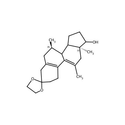 CC1=C2C3=C(C[C@@H](C)C2C2CCC(O)[C@@]2(C)C1)CC1(CC3)OCCO1